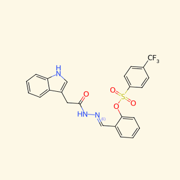 O=C(Cc1c[nH]c2ccccc12)N/N=C/c1ccccc1OS(=O)(=O)c1ccc(C(F)(F)F)cc1